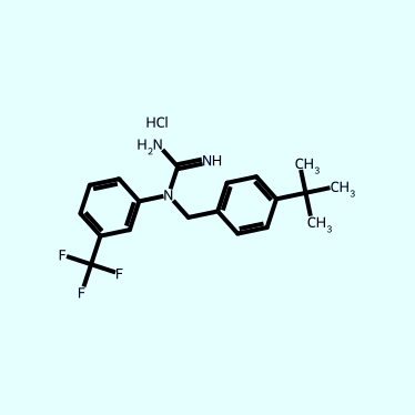 CC(C)(C)c1ccc(CN(C(=N)N)c2cccc(C(F)(F)F)c2)cc1.Cl